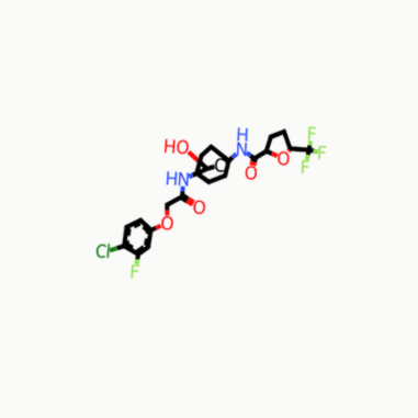 O=C(COc1ccc(Cl)c(F)c1)NC12CCC(NC(=O)C3CCC(C(F)(F)F)O3)(CC1)CC2O